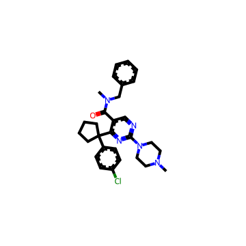 CN1CCN(c2ncc(C(=O)N(C)Cc3ccccc3)c(C3(c4ccc(Cl)cc4)CCCC3)n2)CC1